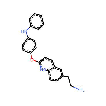 NCCc1ccc2nc(Oc3ccc(Nc4ccccc4)cc3)ccc2c1